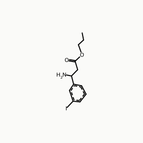 CCCOC(=O)CC(N)c1cccc(I)c1